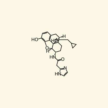 O=C(Cc1ncc[nH]1)N[C@@H]1CC[C@@]2(O)[C@H]3Cc4ccc(O)c5c4[C@@]2(CCN3CC2CC2)[C@H]1O5